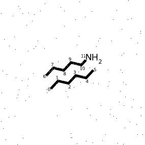 CCCCCC.CCCCCN